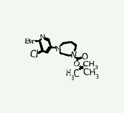 CC(C)(C)OC(=O)N1CCCN(c2cnc(Br)c(Cl)c2)CC1